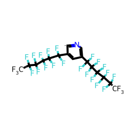 FC(F)(F)C(F)(F)C(F)(F)C(F)(F)C(F)(F)C(F)(F)c1[c]ncc(C(F)(F)C(F)(F)C(F)(F)C(F)(F)C(F)(F)C(F)(F)F)c1